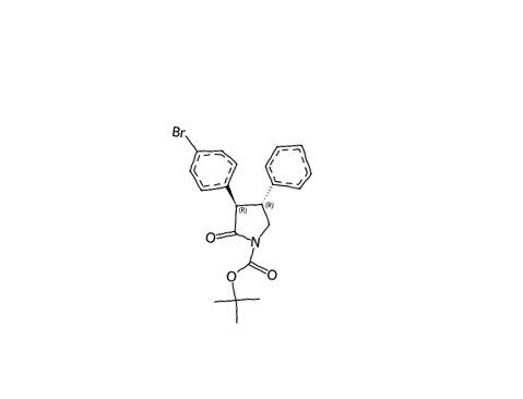 CC(C)(C)OC(=O)N1C[C@@H](c2ccccc2)[C@H](c2ccc(Br)cc2)C1=O